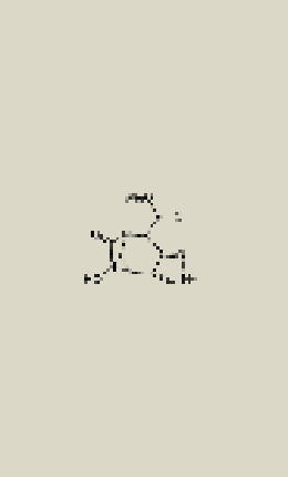 COC(=O)C1c2nn(C)cc2C2CN1C(=O)N2O